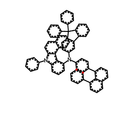 c1ccc(-c2cccc3cccc(-c4ccc(N(c5ccc6c(c5)-c5ccccc5C6(c5ccccc5)c5ccccc5)c5cccc6c5c5c7ccccc7ccc5n6-c5ccccc5)cc4)c23)cc1